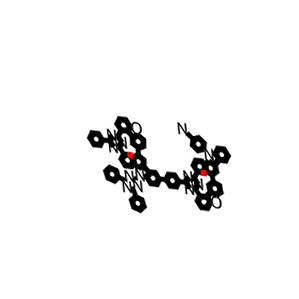 N#Cc1ccc(-n2c3ccccc3c3cc(-c4ccc5oc6cccc(-c7nc(-c8ccccc8)nc(-c8ccc(-c9ccc%10c(c9)c9cc(-c%11ccc%12oc%13cccc(-c%14nc(-c%15ccccc%15)nc(-c%15ccccc%15)n%14)c%13c%12c%11)ccc9n%10-c9nc(-c%10ccccc%10)nc(-c%10ccccc%10)n9)cc8)n7)c6c5c4)ccc32)cc1